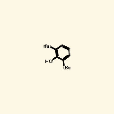 CC(C)(C)c1c[c]cc(C(C)(C)C)c1O